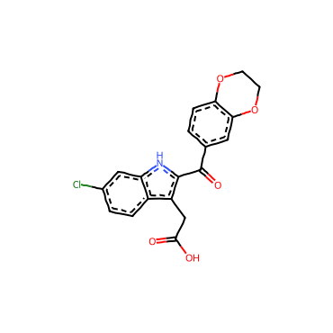 O=C(O)Cc1c(C(=O)c2ccc3c(c2)OCCO3)[nH]c2cc(Cl)ccc12